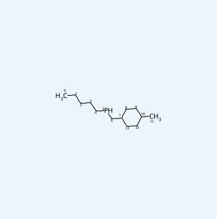 CCCCCPCC1CCC(C)CC1